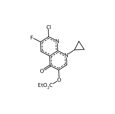 CCOC(=O)Oc1cn(C2CC2)c2nc(Cl)c(F)cc2c1=O